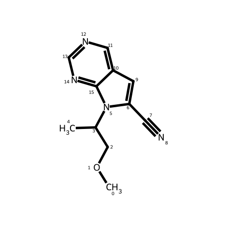 COCC(C)n1c(C#N)cc2cncnc21